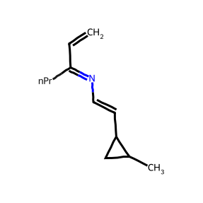 C=C/C(CCC)=N/C=C/C1CC1C